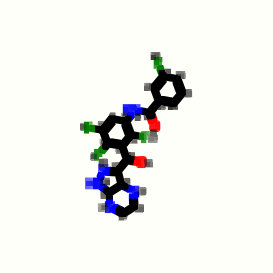 O=C(Nc1cc(F)c(F)c(C(=O)C2=NNC3N=CC=NC23)c1F)c1cccc(F)c1